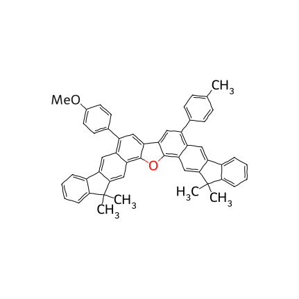 COc1ccc(-c2cc3c4cc(-c5ccc(C)cc5)c5cc6c(cc5c4oc3c3cc4c(cc23)-c2ccccc2C4(C)C)C(C)(C)c2ccccc2-6)cc1